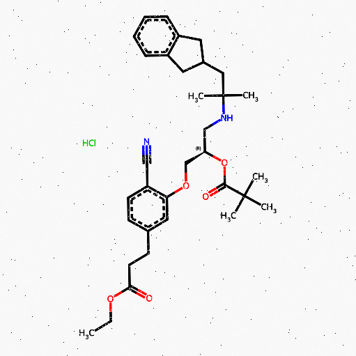 CCOC(=O)CCc1ccc(C#N)c(OC[C@@H](CNC(C)(C)CC2Cc3ccccc3C2)OC(=O)C(C)(C)C)c1.Cl